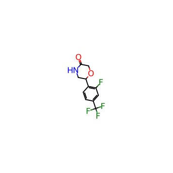 O=C1COC(c2ccc(C(F)(F)F)cc2F)CN1